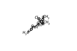 COc1ccc2c(c1)C(c1ccc(Cl)cc1)=N[C@@H](CC(=O)NCCCNC(=O)c1ccc(CSC)cc1)c1nnc(C)n1-2